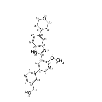 COc1ncc(-c2cccc(CO)c2)cc1-c1nc2cc(N3CCOCC3)ccc2[nH]1